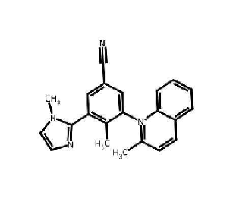 Cc1c(-c2nccn2C)cc(C#N)cc1-[n+]1c(C)ccc2ccccc21